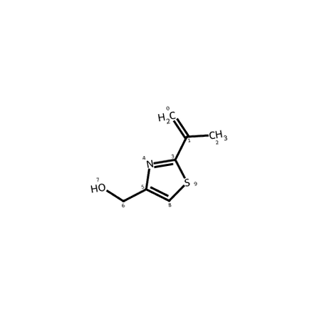 C=C(C)c1nc(CO)cs1